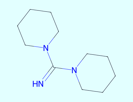 N=C(N1CCCCC1)N1CCCCC1